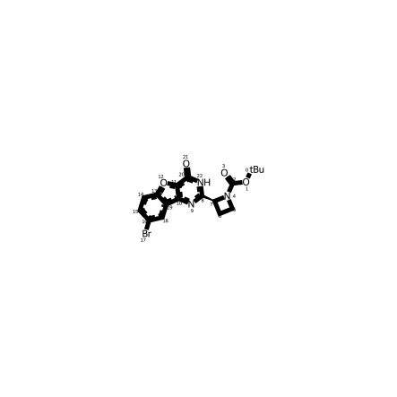 CC(C)(C)OC(=O)N1CC[C@H]1c1nc2c(oc3ccc(Br)cc32)c(=O)[nH]1